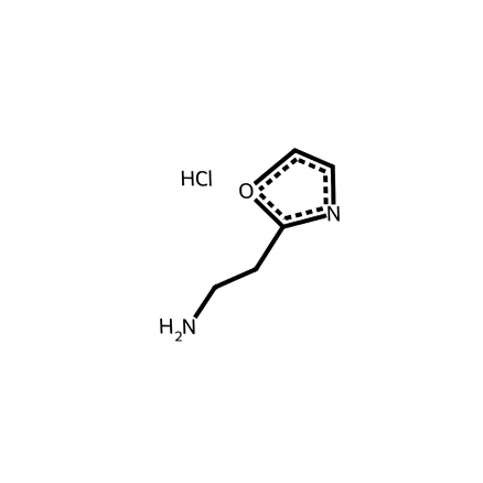 Cl.NCCc1ncco1